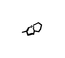 CC1=CN2CCCCCC2C=C1